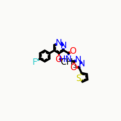 COc1c(-c2ccc(F)cc2)cnnc1C(=O)Nc1nnc(-c2cccs2)o1